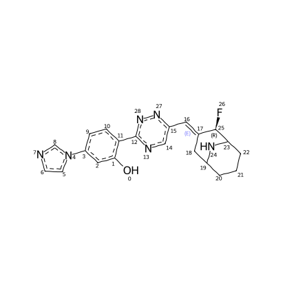 Oc1cc(-n2ccnc2)ccc1-c1ncc(/C=C2\CC3CCCC(N3)[C@@H]2F)nn1